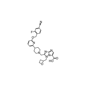 N#Cc1ccc(COc2cccc(C3CCN(Cc4nc5ncc(C(=O)O)n5n4CC4CCO4)CC3)n2)c(F)c1